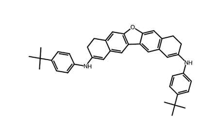 CC(C)(C)c1ccc(NC2=Cc3cc4c(cc3CC2)oc2cc3c(cc24)C=C(Nc2ccc(C(C)(C)C)cc2)CC3)cc1